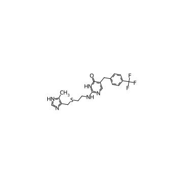 Cc1[nH]cnc1CSCCNc1ncc(Cc2ccc(C(F)(F)F)cc2)c(=O)[nH]1